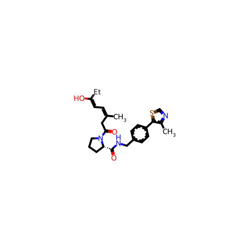 CC/C(O)=C\C=C(\C)CC(=O)N1CCC[C@H]1C(=O)NCc1ccc(-c2scnc2C)cc1